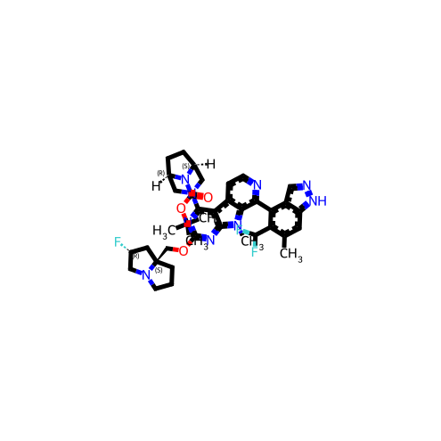 Cc1cc2[nH]ncc2c(-c2nccc3c4c(N5C[C@H]6CC[C@@H](C5)N6C(=O)OC(C)(C)C)nc(OC[C@@]56CCCN5C[C@H](F)C6)nc4n(C)c23)c1C(F)F